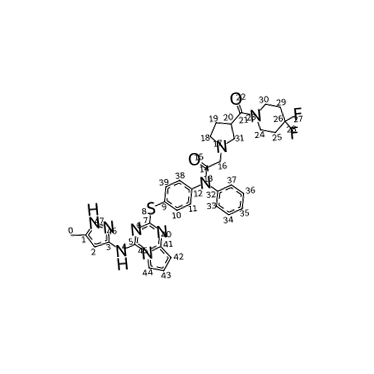 Cc1cc(Nc2nc(Sc3ccc(N(C(=O)CN4CCC(C(=O)N5CCC(F)(F)CC5)C4)c4ccccc4)cc3)nc3cccn23)n[nH]1